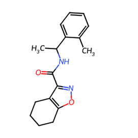 Cc1ccccc1C(C)NC(=O)c1noc2c1CCCC2